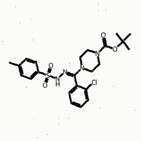 Cc1ccc(S(=O)(=O)N/N=C(\c2ccccc2Cl)N2CCN(C(=O)OC(C)(C)C)CC2)cc1